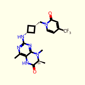 Cc1nc(N[C@H]2C[C@@H](Cn3ccc(C(F)(F)F)cc3=O)C2)nc2c1NC(=O)[C@H](C)N2C